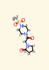 CC(C)S(=O)(=O)N1CCN(C(=O)CN2CCCC2=O)CC1